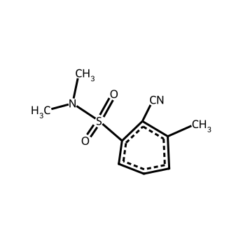 Cc1cccc(S(=O)(=O)N(C)C)c1C#N